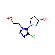 OCCn1cnc(Cl)c1N1CCC(O)C1